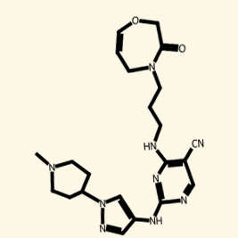 CN1CCC(n2cc(Nc3ncc(C#N)c(NCCCN4CC=COCC4=O)n3)cn2)CC1